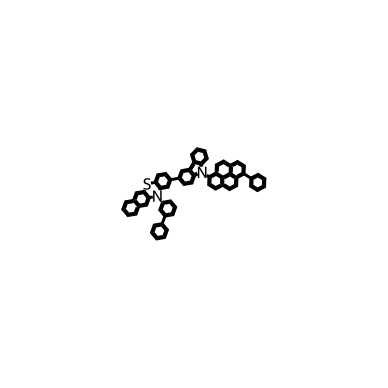 c1ccc(-c2cccc(N3c4cc(-c5ccc6c(c5)c5ccccc5n6-c5ccc6ccc7c(-c8ccccc8)ccc8ccc5c6c87)ccc4Sc4cc5ccccc5cc43)c2)cc1